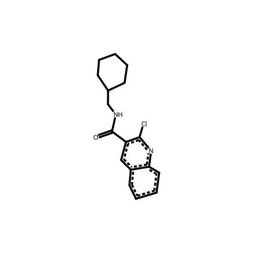 O=C(NCC1CCCCC1)c1cc2ccccc2nc1Cl